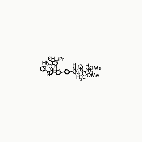 COC(=O)N[C@H](C(=O)N1CCC[C@H]1c1ncc(-c2ccc(-c3ccc(-c4cnc([C@H]5C6CCC(C6)[C@@H]5C(=O)N[C@H](C)c5cncc(C(C)C)c5)[nH]4)cc3)cc2)[nH]1)[C@@H](C)OC